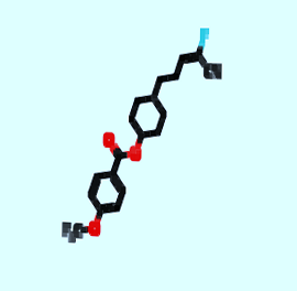 N#C/C(F)=C\CCC1CCC(OC(=O)c2ccc(OC(F)(F)F)cc2)CC1